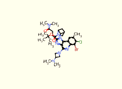 Cc1cc2c(nc(N3CC(N(C)C)C3)c3nc(CCC(=O)N(C)C)n(C4C5CC4N(C(=O)OC(C)(C)C)C5)c32)c(Br)c1Cl